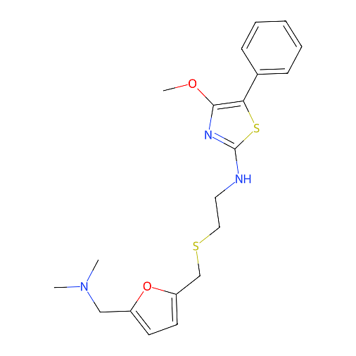 COc1nc(NCCSCc2ccc(CN(C)C)o2)sc1-c1ccccc1